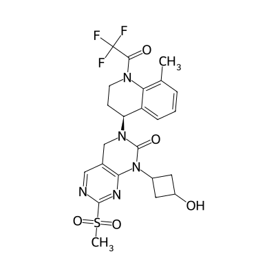 Cc1cccc2c1N(C(=O)C(F)(F)F)CC[C@@H]2N1Cc2cnc(S(C)(=O)=O)nc2N(C2CC(O)C2)C1=O